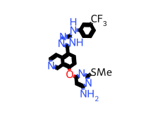 CSc1nc(N)cc(Oc2ccc(-c3nnc(Nc4cccc(C(F)(F)F)c4)[nH]3)c3ccncc23)n1